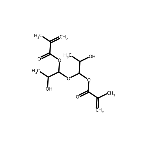 C=C(C)C(=O)OC(OC(OC(=O)C(=C)C)C(C)O)C(C)O